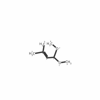 COC(C=C(C)C)OC